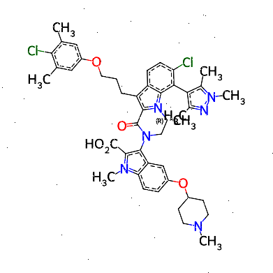 Cc1cc(OCCCc2c3n(c4c(-c5c(C)nn(C)c5C)c(Cl)ccc24)[C@H](C)CN(c2c(C(=O)O)n(C)c4ccc(OC5CCN(C)CC5)cc24)C3=O)cc(C)c1Cl